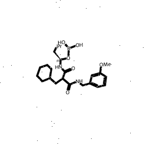 COc1cccc(CNC(=O)C(CC2CCCCC2)C(=O)N[C@@H](CC(C)C)OB(O)O)c1